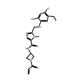 C=CC(=O)N1CC(NC(=O)c2cnc(CNc3cc(CC)c(Cl)cc3O)n2C)C1